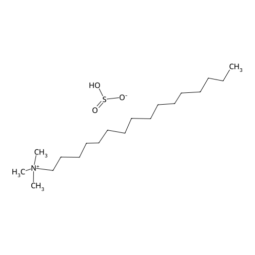 CCCCCCCCCCCCCCCC[N+](C)(C)C.O=S([O-])O